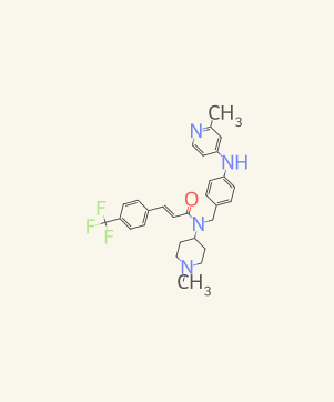 Cc1cc(Nc2ccc(CN(C(=O)C=Cc3ccc(C(F)(F)F)cc3)C3CCN(C)CC3)cc2)ccn1